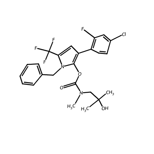 CN(CC(C)(C)O)C(=O)Oc1c(-c2ccc(Cl)cc2F)cc(C(F)(F)F)n1Cc1ccccc1